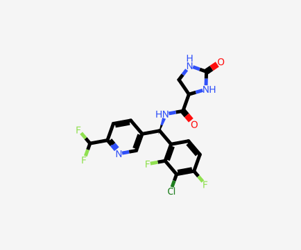 O=C1NCC(C(=O)N[C@H](c2ccc(C(F)F)nc2)c2ccc(F)c(Cl)c2F)N1